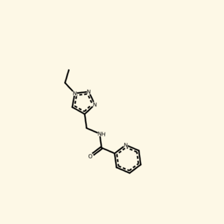 CCn1cc(CNC(=O)c2ccccn2)nn1